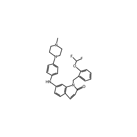 CN1CCN(c2ccc(Nc3ccc4ccc(=O)n(Cc5ccccc5OC(F)F)c4c3)cc2)CC1